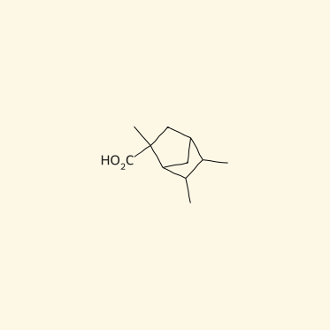 CC1C2CC(C1C)C(C)(C(=O)O)C2